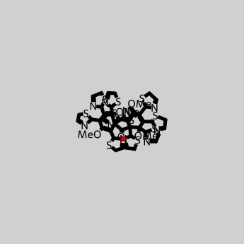 COC1=C(C2N=CCS2)C(C(=O)C2(C3N=CCS3)C(C3N=CCS3)=C(OC)C(C3N=CCS3)=C(C3N=CCS3)C2(OC)C2N=CCS2)(C2N=CCS2)C(OC)(C2N=CCS2)C(C2N=CCS2)=C1C1N=CCS1